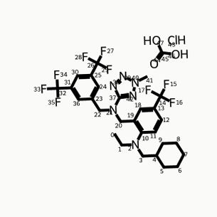 CCN(CC1CCCCC1)c1ccc(C(F)(F)F)cc1CN(Cc1cc(C(F)(F)F)cc(C(F)(F)F)c1)c1nnn(C)n1.Cl.O=C(O)O